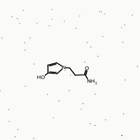 NC(=O)CCn1ccc(O)c1